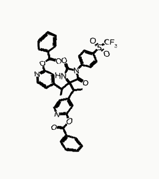 CC(c1ccnc(OC(=O)c2ccccc2)c1)C1(C(C)c2ccnc(OC(=O)c3ccccc3)c2)NC(=O)N(c2ccc(S(=O)(=O)C(F)(F)F)cc2)C1=O